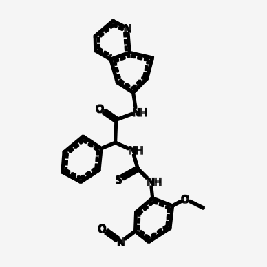 COc1ccc(N=O)cc1NC(=S)NC(C(=O)Nc1ccc2ncccc2c1)c1ccccc1